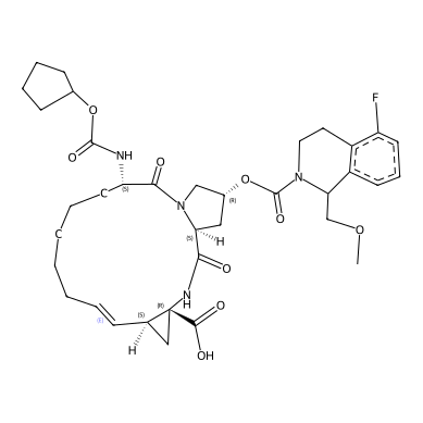 COCC1c2cccc(F)c2CCN1C(=O)O[C@@H]1C[C@H]2C(=O)N[C@]3(C(=O)O)C[C@H]3/C=C/CCCCC[C@H](NC(=O)OC3CCCC3)C(=O)N2C1